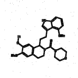 CCOc1cc2c(cc1OC)CCN(C(=O)N1CCOCC1)C2CCc1c[nH]c2cccc(OC)c12